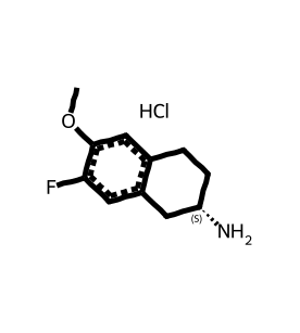 COc1cc2c(cc1F)C[C@@H](N)CC2.Cl